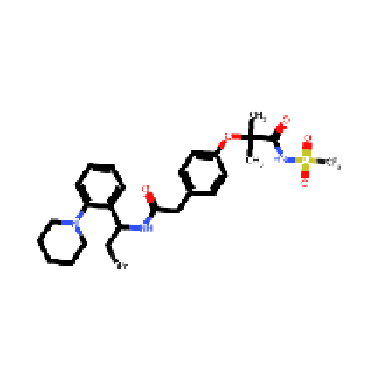 CC(C)CC(NC(=O)Cc1ccc(OC(C)(C)C(=O)NS(=O)(=O)C(F)(F)F)cc1)c1ccccc1N1CCCCC1